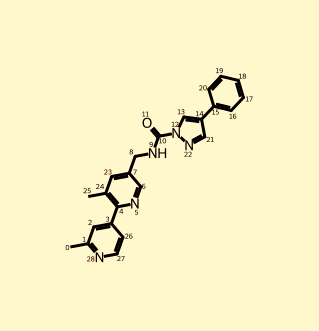 Cc1cc(-c2ncc(CNC(=O)n3cc(-c4ccccc4)cn3)cc2C)ccn1